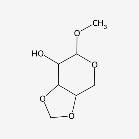 COC1OCC2OCOC2C1O